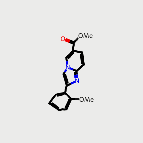 COC(=O)c1ccc2nc(-c3ccccc3OC)cn2c1